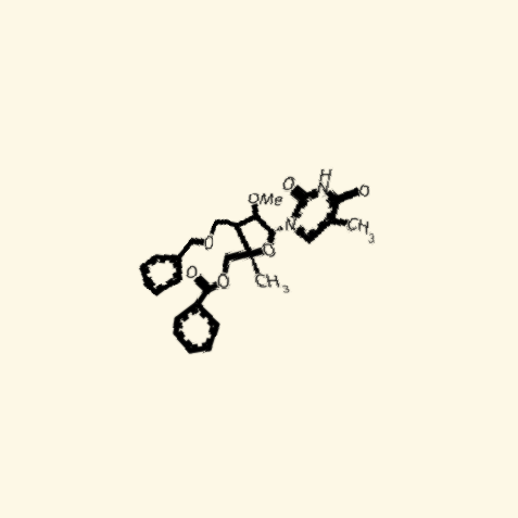 COC1C(COCc2ccccc2)[C@@](C)(COC(=O)c2ccccc2)O[C@H]1n1cc(C)c(=O)[nH]c1=O